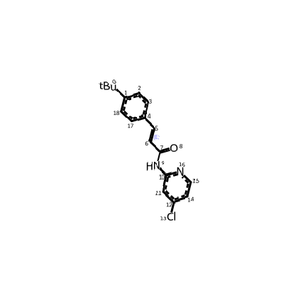 CC(C)(C)c1ccc(/C=C/C(=O)Nc2cc(Cl)ccn2)cc1